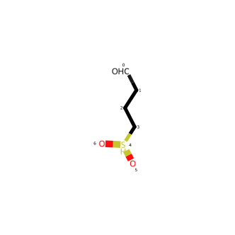 O=CCCC[SH](=O)=O